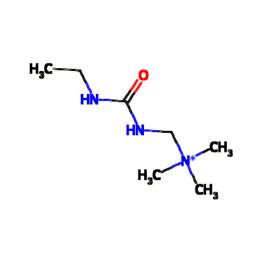 CCNC(=O)NC[N+](C)(C)C